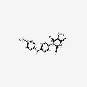 COn1c(=O)[nH]c(=O)n(-c2ccc(Sc3ccc([N+](=O)[O-])cc3)cc2)c1=O